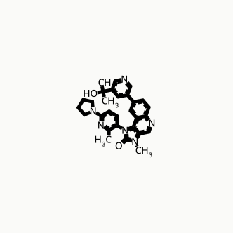 Cc1nc(N2CCCC2)ccc1-n1c(=O)n(C)c2cnc3ccc(-c4cncc(C(C)(C)O)c4)cc3c21